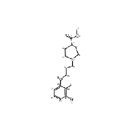 COC(=O)C1CCN(CCCOc2cccc(Br)c2C)CC1